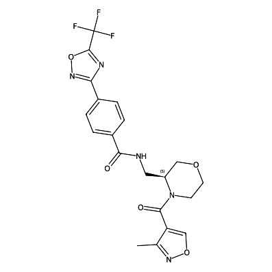 Cc1nocc1C(=O)N1CCOC[C@@H]1CNC(=O)c1ccc(-c2noc(C(F)(F)F)n2)cc1